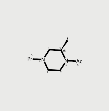 CC(=O)N1CCN(C(C)C)C[C@H]1C